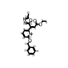 CCOC(=O)C=C(c1cccc(OCc2ccccc2)n1)c1nnc(C)o1